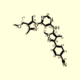 CO[C@H](C)c1c(C)nn(-c2cc(Nc3c(C)c(-c4ccc(C#N)cc4)nn3C)ncn2)c1C